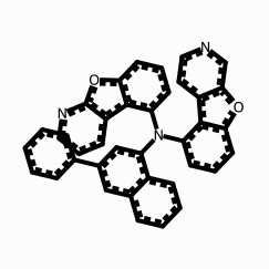 c1ccc(-c2cc(N(c3cccc4oc5cnccc5c34)c3cccc4oc5ncccc5c34)c3ccccc3c2)cc1